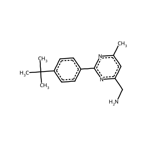 Cc1cc(CN)nc(-c2ccc(C(C)(C)C)cc2)n1